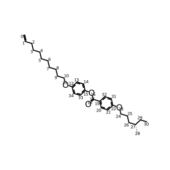 C=CCCCCCCCCCOc1ccc(OC(=O)c2ccc(OCCC[C@@H](C)CC)cc2)cc1